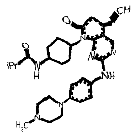 C#Cc1cc(=O)n(C2CCC(NC(=O)C(C)C)CC2)c2nc(Nc3ccc(N4CCN(C)CC4)cc3)ncc12